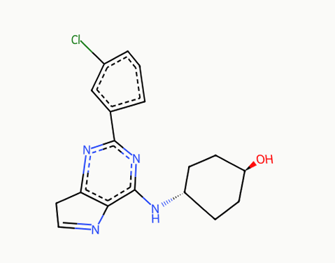 O[C@H]1CC[C@H](Nc2nc(-c3cccc(Cl)c3)nc3c2N=CC3)CC1